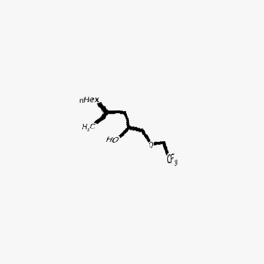 CCCCCCC(C)CC(O)COCC(F)(F)F